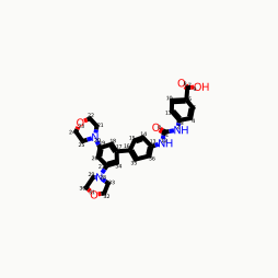 O=C(Nc1ccc(C(=O)O)cc1)Nc1ccc(-c2cc(N3CCOCC3)cc(N3CCOCC3)c2)cc1